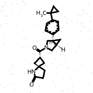 CC1(c2ccc([C@]34C[C@H]3CN(C(=O)[C@H]3C[C@]5(CCC(=O)N5)C3)C4)cc2)CC1